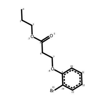 CCCOC(=O)CCOc1ccccc1Br